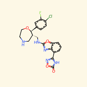 O=c1[nH]c(-c2cccc3oc(NC[C@@H]4CNCCO[C@H]4c4ccc(Cl)c(F)c4)nc23)no1